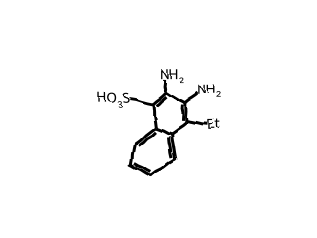 CCc1c(N)c(N)c(S(=O)(=O)O)c2ccccc12